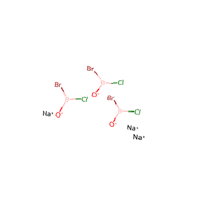 [Na+].[Na+].[Na+].[O-]B(Cl)Br.[O-]B(Cl)Br.[O-]B(Cl)Br